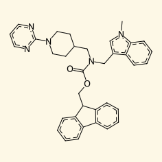 Cn1cc(CN(CC2CCN(c3ncccn3)CC2)C(=O)OCC2c3ccccc3-c3ccccc32)c2ccccc21